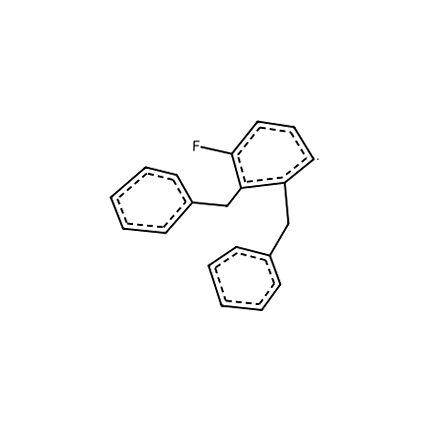 Fc1cc[c]c(Cc2ccccc2)c1Cc1ccccc1